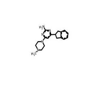 CN1CCN(c2cc(C3Cc4ccccc4C3)nc(N)n2)CC1